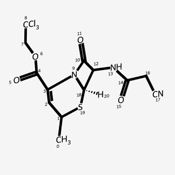 CC1C=C(C(=O)OCC(Cl)(Cl)Cl)N2C(=O)C(NC(=O)CC#N)[C@H]2S1